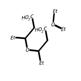 CCC(CC(=O)O)OC(CC)CC(=O)O.CCOCC